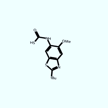 COc1cc2nc(C(C)(C)C)sc2cc1NC(=O)S